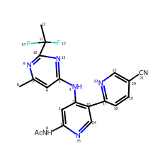 CC(=O)Nc1cc(Nc2cc(C)nc(C(C)(F)F)n2)c(-c2ccc(C#N)cn2)cn1